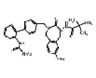 CNC(=O)Nc1ccccc1-c1ccc(CN2Cc3ccc(SC)cc3C[C@@H](NC(=O)C(C)(C)N)C2=O)cc1